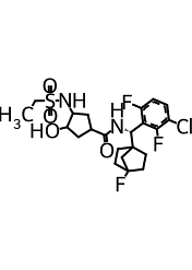 CCS(=O)(=O)NC1CC(C(=O)N[C@H](c2c(F)ccc(Cl)c2F)C23CCC(F)(CC2)C3)CC1O